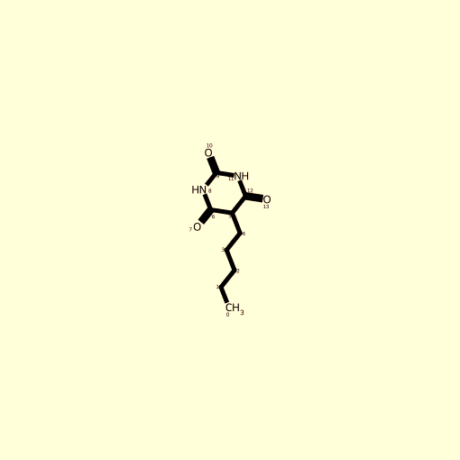 CCCCCC1C(=O)NC(=O)NC1=O